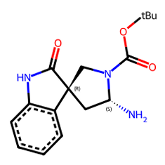 CC(C)(C)OC(=O)N1C[C@]2(C[C@H]1N)C(=O)Nc1ccccc12